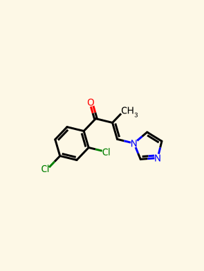 CC(=Cn1ccnc1)C(=O)c1ccc(Cl)cc1Cl